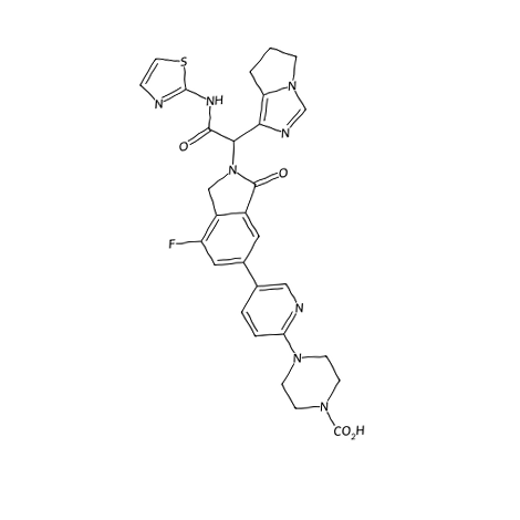 O=C(Nc1nccs1)C(c1ncn2c1CCC2)N1Cc2c(F)cc(-c3ccc(N4CCN(C(=O)O)CC4)nc3)cc2C1=O